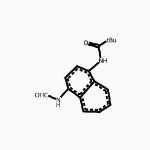 CC(C)(C)C(=O)Nc1ccc(N[C]=O)c2ccccc12